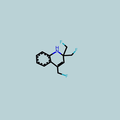 FCC1=CC(CF)(CF)Nc2ccccc21